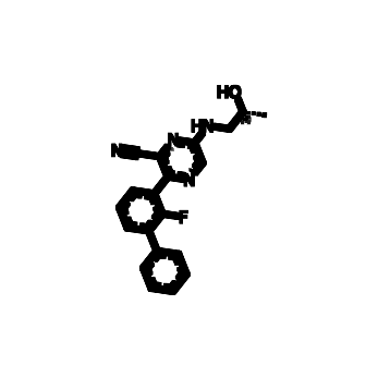 C[C@@H](O)CNc1cnc(-c2cccc(-c3ccccc3)c2F)c(C#N)n1